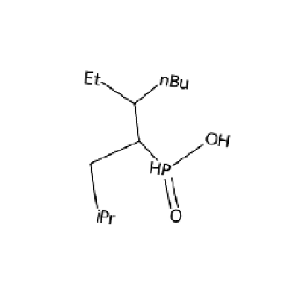 CCCCC(CC)C(CC(C)C)[PH](=O)O